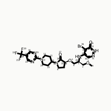 COC[C@@H](CO[C@H]1CCN(C2CCN(c3ncc(C(F)(F)F)cn3)CC2)C1=O)Nc1cn[nH]c(=O)c1Br